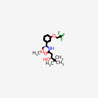 COC[C@H](NC(=O)C[C@H](O)C(C)(C)C)c1cccc(OCC(F)(F)F)c1